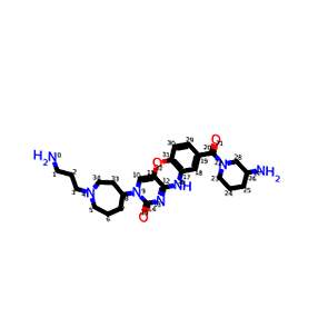 NCCCN1CCCC(n2cc3c(nc2=O)Nc2cc(C(=O)N4CCCC(N)C4)ccc2O3)CC1